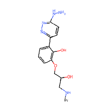 CC(C)NCC(O)COc1cccc(-c2ccc(NN)nn2)c1O